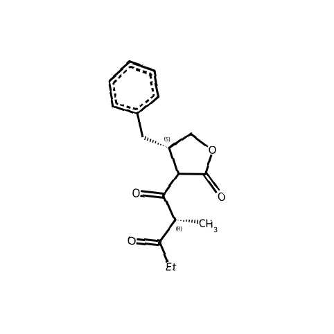 CCC(=O)[C@@H](C)C(=O)C1C(=O)OC[C@H]1Cc1ccccc1